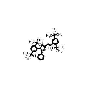 CC(C)(C)c1ccc(C(C)(C)C)c(C=CC2=NN(c3ccccc3)C(c3cc(C(C)(C)C)ccc3C(C)(C)C)C2)c1